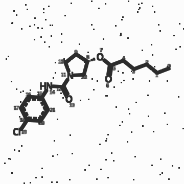 CCCCCC(=O)O[C@H]1CCN(C(=O)Nc2ccc(Cl)cc2)C1